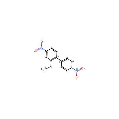 CCc1cc([N+](=O)[O-])ccc1-c1ccc([N+](=O)[O-])cc1